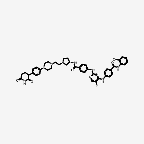 O=C1CCC(c2ccc(N3CCN(CCN4CC[C@@H](NC(=O)c5ccc(Nc6ncc(F)c(Nc7ccc(C(=O)Nc8ccccc8Cl)cc7)n6)cc5)C4)CC3)cc2)C(=O)N1